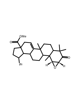 COC(=O)C12CC=C3C(CCC4C3(C)CCC3C(C)(C)C(=O)[C@@H]5O[C@@H]5C34C)C1C(C(C)C)CC2